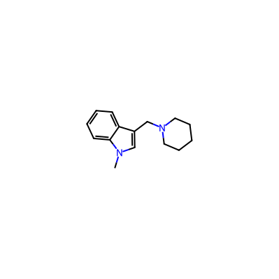 Cn1cc(CN2CCCCC2)c2ccccc21